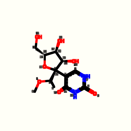 COC(C)[C@@]1(c2c[nH]c(=O)[nH]c2=O)O[C@H](CO)[C@@H](O)[C@H]1O